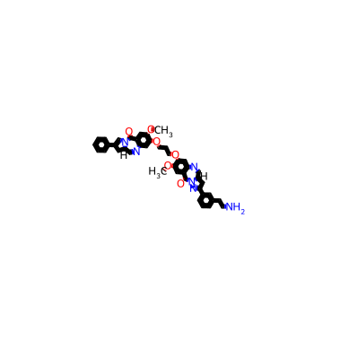 COc1cc2c(cc1OCCCOc1cc3c(cc1OC)C(=O)N1N=C(c4cccc(CCN)c4)C[C@H]1C=N3)N=C[C@@H]1CC(c3ccccc3)=CN1C2=O